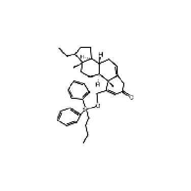 CCCC[Si](OCC1=CC(=O)CC2=CC[C@@H]3[C@H](CC[C@]4(C)[C@@H](CC)CC[C@@H]34)[C@@]12C)(c1ccccc1)c1ccccc1